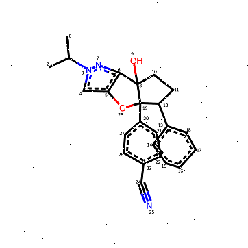 CC(C)n1cc2c(n1)C1(O)CCC(c3ccccc3)C1(c1ccc(C#N)cc1)O2